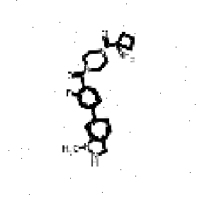 CN1NCc2ccc(-c3ccc(C(=O)N4CCN(C(=O)C5(N)CCC5)CC4)c(F)c3)cc21